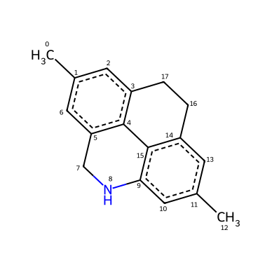 Cc1cc2c3c(c1)CNc1cc(C)cc(c1-3)CC2